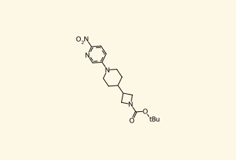 CC(C)(C)OC(=O)N1CC(C2CCN(c3ccc([N+](=O)[O-])nc3)CC2)C1